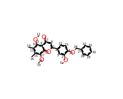 COc1cc(-c2cc(=O)c3c(OC)c(C)c(C)c(OC)c3o2)ccc1OCc1ccccc1